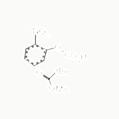 COC(=O)C(C)(C)C.O=C(O)Oc1ccccc1[N+](=O)[O-]